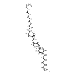 CCCCCCCCCCCCC1COC(CCc2ccc(-c3ccc(CCCCCCC)cc3)nc2)OC1